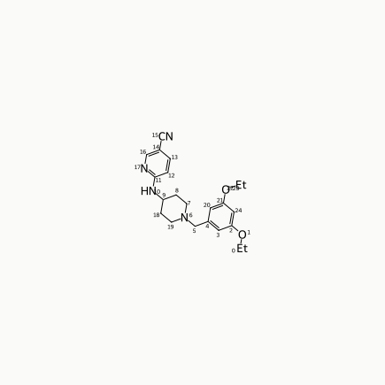 CCOc1cc(CN2CCC(Nc3ccc(C#N)cn3)CC2)cc(OCC)c1